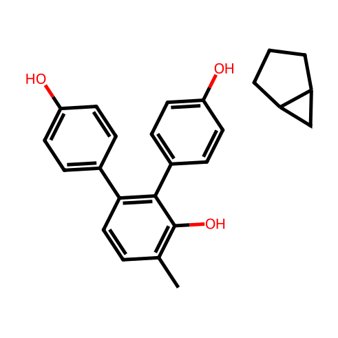 C1CC2CC2C1.Cc1ccc(-c2ccc(O)cc2)c(-c2ccc(O)cc2)c1O